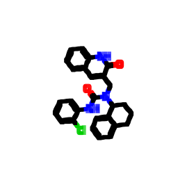 O=C(Nc1ccccc1Cl)N(Cc1cc2ccccc2[nH]c1=O)C1CCCc2ccccc21